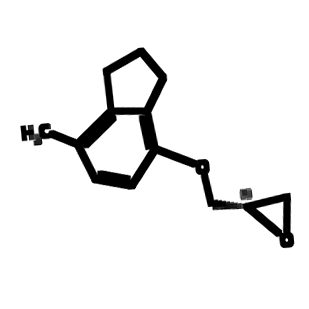 Cc1ccc(OC[C@@H]2CO2)c2c1CCC2